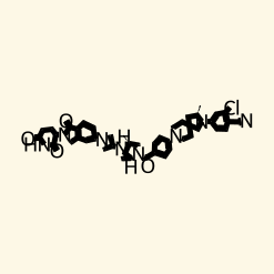 C[C@H]1CC2(CCN(c3ccc(C(=O)N4C[C@H]5C[C@@H]4CN5C4CN(c5ccc6c(c5)CN(C5CCC(=O)NC5=O)C6=O)C4)cc3)CC2)CN1c1ccc(C#N)c(Cl)c1